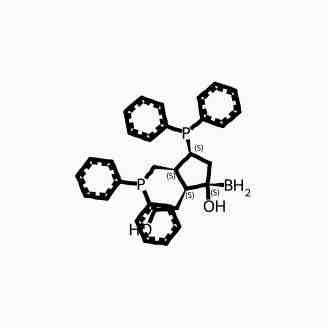 B[C@]1(O)C[C@H](P(c2ccccc2)c2ccccc2)[C@H](CP(c2ccccc2)c2ccccc2)[C@@H]1CCO